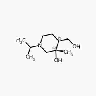 CC(C)N1CC[C@@H](CO)[C@](C)(O)C1